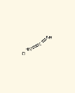 N=C=N.[C]